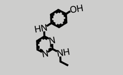 CCNc1nccc(Nc2ccc(O)cc2)n1